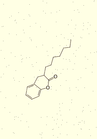 CCCCCCCC1Cc2ccccc2OC1=O